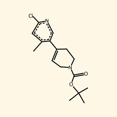 Cc1cc(Cl)ncc1C1=CCN(C(=O)OC(C)(C)C)CC1